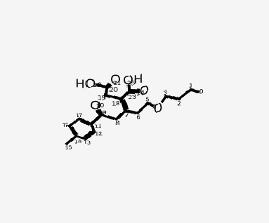 CCCCOCCC(CC(=O)c1ccc(C)cc1)=C(CC(=O)O)C(=O)O